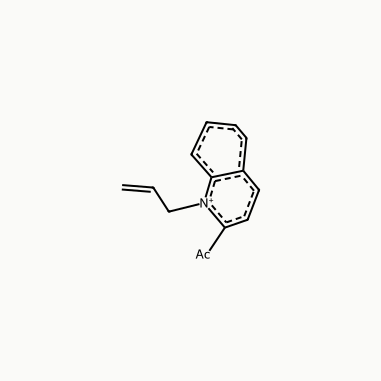 C=CC[n+]1c(C(C)=O)ccc2ccccc21